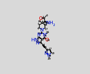 C[C@@H]1OCC2(CCN(c3nc4[nH]nc(C#Cc5ccn(C)n5)c4c(=O)n3C)CC2)[C@@H]1N